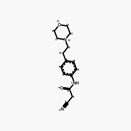 N#CCC(=O)Nc1ccc(CCN2CCOCC2)cc1